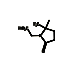 CCOC(=O)CN1C(=O)CCC1(C)C(F)(F)F